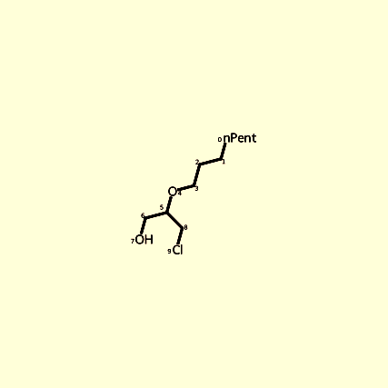 CCCCCCCCOC(CO)CCl